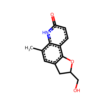 Cc1cc2c(c3ccc(=O)[nH]c13)OC(CO)C2